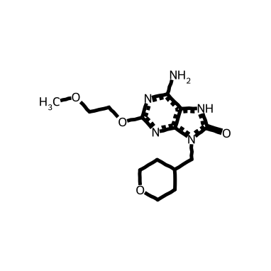 COCCOc1nc(N)c2[nH]c(=O)n(CC3CCOCC3)c2n1